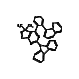 CC1(C)C=Cc2nc(-n3c4ccccc4c4ccccc43)nc(-c3ccccc3-c3cccc4ccccc34)c21